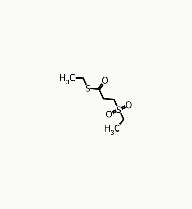 CCSC(=O)CCS(=O)(=O)CC